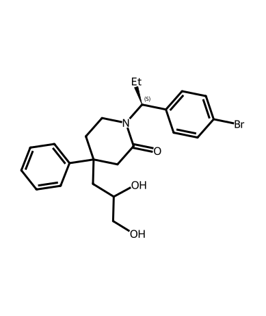 CC[C@@H](c1ccc(Br)cc1)N1CCC(CC(O)CO)(c2ccccc2)CC1=O